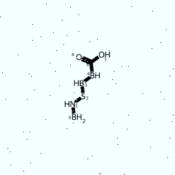 BNSBBC(=O)O